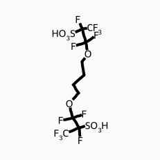 O=S(=O)(O)C(F)(C(F)(F)F)C(F)(F)OCCCCOC(F)(F)C(F)(C(F)(F)F)S(=O)(=O)O